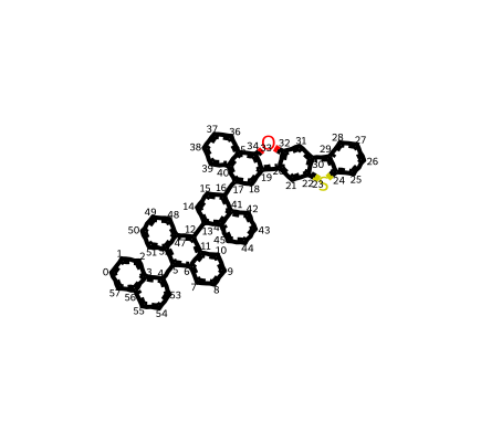 c1ccc2c(-c3c4ccccc4c(-c4ccc(-c5cc6c7cc8sc9ccccc9c8cc7oc6c6ccccc56)c5ccccc45)c4ccccc34)cccc2c1